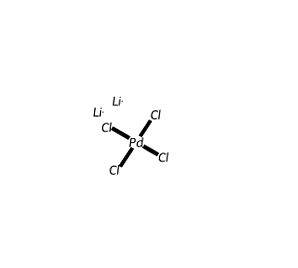 [Cl][Pd]([Cl])([Cl])[Cl].[Li].[Li]